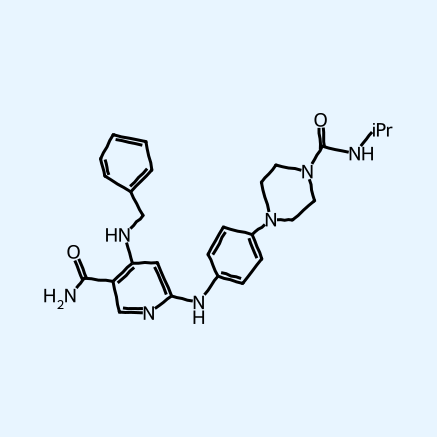 CC(C)NC(=O)N1CCN(c2ccc(Nc3cc(NCc4ccccc4)c(C(N)=O)cn3)cc2)CC1